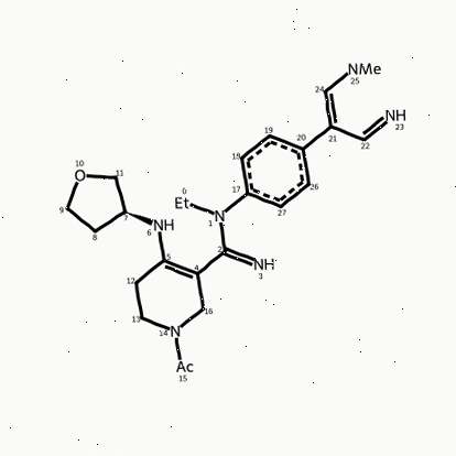 CCN(C(=N)C1=C(N[C@H]2CCOC2)CCN(C(C)=O)C1)c1ccc(/C(C=N)=C/NC)cc1